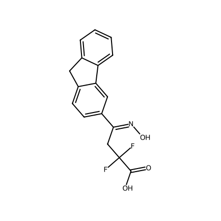 O=C(O)C(F)(F)CC(=NO)c1ccc2c(c1)-c1ccccc1C2